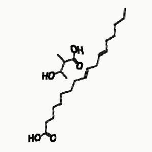 CC(O)C(C)C(=O)O.CCCCCC=CCC=CCCCCCCCC(=O)O